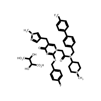 CN1CCC(N(Cc2ccc(-c3ccc(C(F)(F)F)cc3)cc2)C(=O)Cn2cc(Cc3cnn(C)c3)c(=O)nc2SCc2ccc(F)cc2)CC1.O=C(O)C(O)C(O)C(=O)O